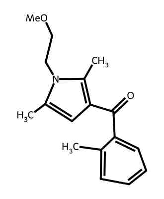 COCCn1c(C)cc(C(=O)c2ccccc2C)c1C